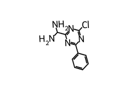 NC(N)c1nc(Cl)nc(-c2ccccc2)n1